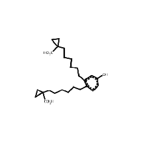 O=C(O)C1(CCCCCCc2ccc(O)cc2CCCCCCC2(C(=O)O)CC2)CC1